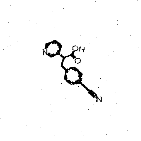 N#Cc1ccc(CC(C(=O)O)c2cccnc2)cc1